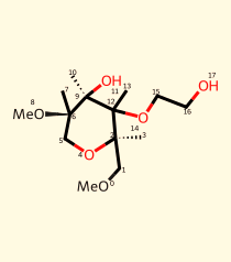 COC[C@@]1(C)OC[C@@](C)(OC)[C@@](C)(O)C1(C)OCCO